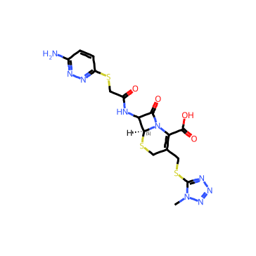 Cn1nnnc1SCC1=C(C(=O)O)N2C(=O)C(NC(=O)CSc3ccc(N)nn3)[C@@H]2SC1